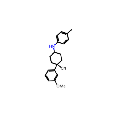 COc1cccc([C@]2(C#N)CC[C@@H](Nc3ccc(C)cc3)CC2)c1